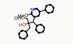 COc1ncc(-c2ccccc2)cc1C(c1ccccc1)C(O)(CC=O)Cc1ccccc1